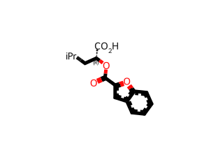 CC(C)C[C@@H](OC(=O)c1cc2ccccc2o1)C(=O)O